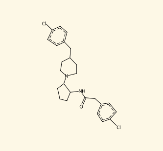 O=C(Cc1ccc(Cl)cc1)NC1CCCC1N1CCC(Cc2ccc(Cl)cc2)CC1